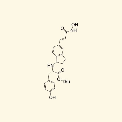 CC(C)(C)OC(=O)[C@H](Cc1ccc(O)cc1)NC1CCc2cc(C=CC(=O)NO)ccc21